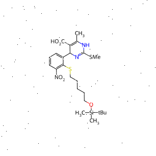 CSC1=NC(c2cccc([N+](=O)[O-])c2SCCCCCO[Si](C)(C)C(C)(C)C)C(C(=O)O)=C(C)N1